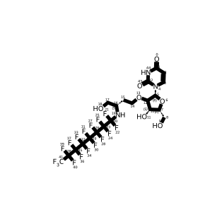 O=c1ccn([C@@H]2O[C@H](CO)[C@H](O)C2OCC[C@@H](CO)NC(F)(F)C(F)(F)C(F)(F)C(F)(F)C(F)(F)C(F)(F)C(F)(F)C(F)(F)F)c(=O)[nH]1